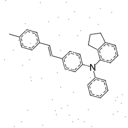 Cc1ccc(C=Cc2ccc(N(c3ccccc3)c3cccc4c3CCC4)cc2)cc1